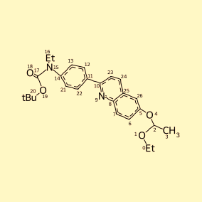 CCOC(C)Oc1ccc2nc(-c3ccc(N(CC)C(=O)OC(C)(C)C)cc3)ccc2c1